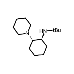 CC(C)(C)N[C@H]1CCCC[C@@H]1N1CCCCC1